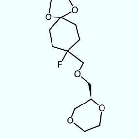 FC1(COC[C@@H]2COCCO2)CCC2(CC1)OCCO2